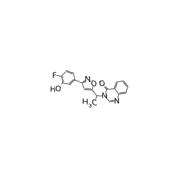 CC(c1cc(-c2ccc(F)c(O)c2)no1)n1cnc2ccccc2c1=O